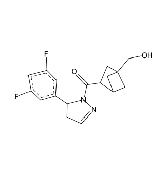 O=C(C1CC2(CO)CC1C2)N1N=CCC1c1cc(F)cc(F)c1